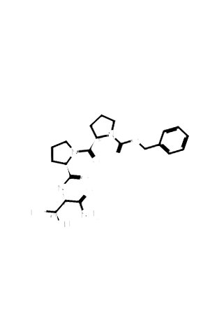 C[C@@H](O)[C@H](NC(=O)[C@H]1CCCN1C(=O)[C@H]1CCCN1C(=O)OCc1ccccc1)C(N)=O